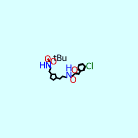 CC(C)(C)OC(=O)NCCC1CCC(CCCNC(=O)c2cc3cc(Cl)ccc3o2)C1